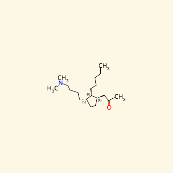 CCCCC[C@@H]1[C@@H](CCCCN(C)C)CC[C@@H]1CC(C)=O